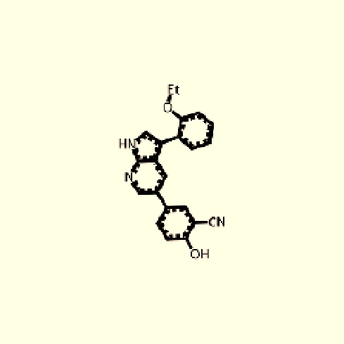 CCOc1ccccc1-c1c[nH]c2ncc(-c3ccc(O)c(C#N)c3)cc12